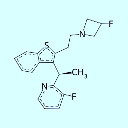 C[C@@H](c1ncccc1F)c1c(CCN2CC(F)C2)sc2ccccc12